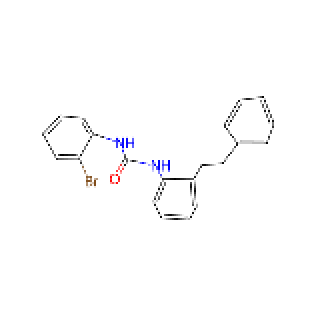 O=C(Nc1ccccc1Br)Nc1ccccc1CCc1ccccc1